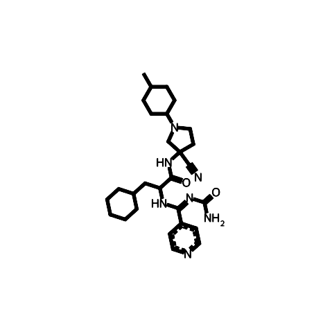 CC1CCC(N2CCC(C#N)(NC(=O)C(CC3CCCCC3)N/C(=N/C(N)=O)c3ccncc3)C2)CC1